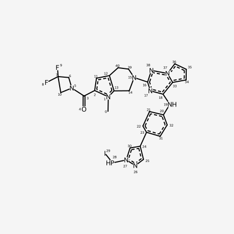 Cn1c(C(=O)N2CC(F)(F)C2)cc2c1CN(c1nc(Nc3ccc(-c4cnn(PI)c4)cc3)c3cccn3n1)CC2